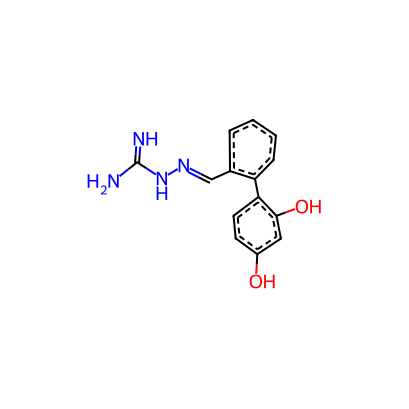 N=C(N)N/N=C/c1ccccc1-c1ccc(O)cc1O